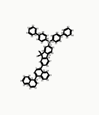 CC1(C)c2cc(-c3ccc(-c4cccc5ccccc45)c4ccccc34)ccc2-c2ccc(N(c3ccc(-c4ccccc4)cc3)c3ccc(-c4ccccc4)cc3)cc21